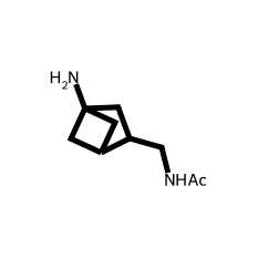 CC(=O)NCC1CC2(N)CC1C2